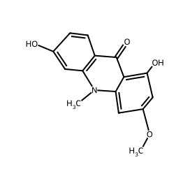 COc1cc(O)c2c(=O)c3ccc(O)cc3n(C)c2c1